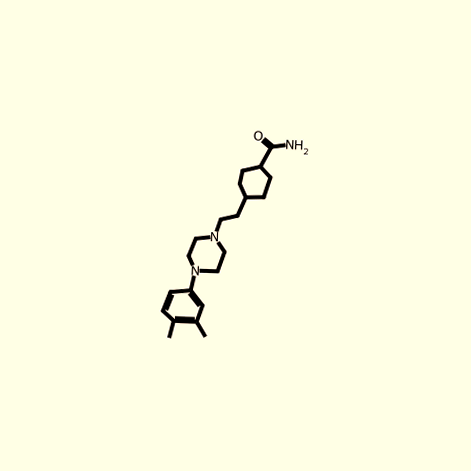 Cc1ccc(N2CCN(CCC3CCC(C(N)=O)CC3)CC2)cc1C